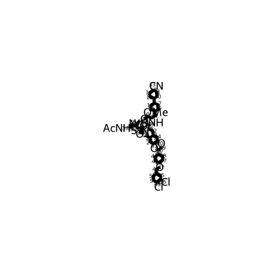 COC(=O)C(Cc1ccc(-c2ccc(C#N)cc2)cc1)NC(=O)[C@H]1Cc2cc3c(cc2CN1S(=O)(=O)c1sc(NC(C)=O)nc1C)O[C@@H](c1ccc(OCc2ccc(Cl)c(Cl)c2)cc1)CO3